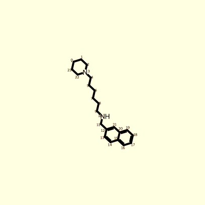 [CH]1CCN(CCCCCCNCc2ccc3ccccc3c2)CC1